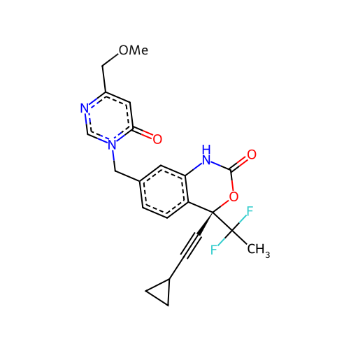 COCc1cc(=O)n(Cc2ccc3c(c2)NC(=O)O[C@]3(C#CC2CC2)C(C)(F)F)cn1